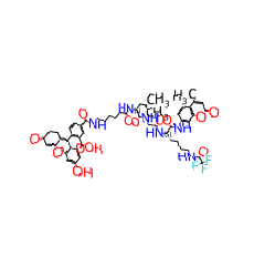 Cc1cc(=O)oc2cc(NC(=O)[C@H](CCCCNC(=O)C(F)(F)F)NC(=O)CNC(=O)[C@H](CC(C)C)NC(=O)CCCCCNC(=O)c3ccc(C4=C5CCC(=O)C=C5Oc5cc(O)ccc54)c(C(=O)O)c3)ccc12